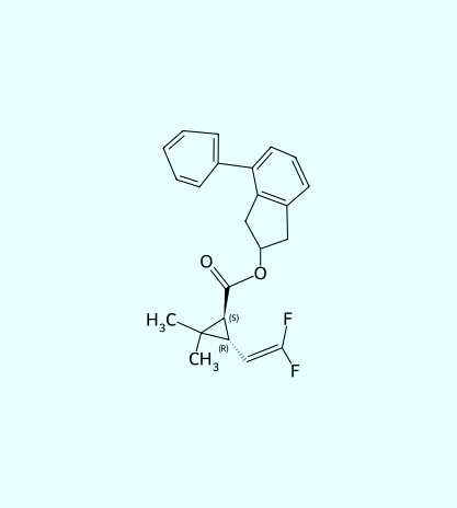 CC1(C)[C@@H](C=C(F)F)[C@@H]1C(=O)OC1Cc2cccc(-c3ccccc3)c2C1